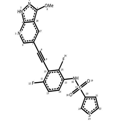 COc1n[nH]c2ncc(C#Cc3c(F)ccc(NS(=O)(=O)c4ccsc4)c3F)cc12